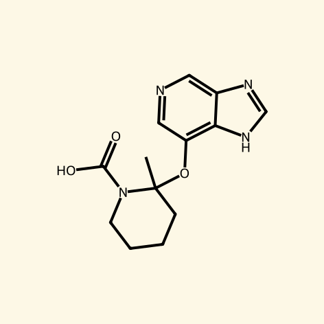 CC1(Oc2cncc3nc[nH]c23)CCCCN1C(=O)O